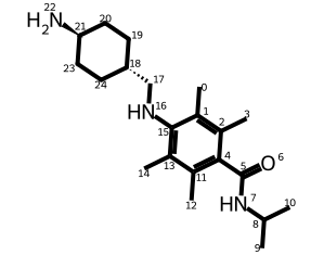 Cc1c(C)c(C(=O)NC(C)C)c(C)c(C)c1NC[C@H]1CC[C@H](N)CC1